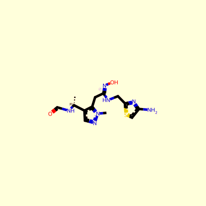 C[C@@H](NC=O)c1cnn(C)c1C/C(=N/O)NCc1nc(N)cs1